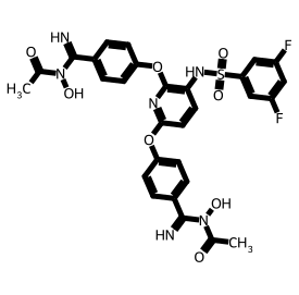 CC(=O)N(O)C(=N)c1ccc(Oc2ccc(NS(=O)(=O)c3cc(F)cc(F)c3)c(Oc3ccc(C(=N)N(O)C(C)=O)cc3)n2)cc1